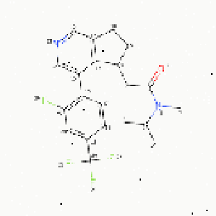 CC(C)N(C)C(=O)CC1CCc2cncc(-c3ccc(C(F)(F)F)cc3F)c21